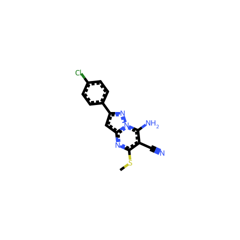 CSc1nc2cc(-c3ccc(Cl)cc3)nn2c(N)c1C#N